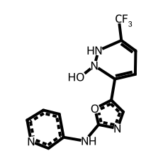 ON1NC(C(F)(F)F)=CC=C1c1cnc(Nc2cccnc2)o1